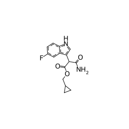 NC(=O)C(C(=O)OCC1CC1)c1c[nH]c2ccc(F)cc12